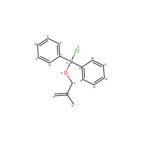 C=C(C)CO[Si](Cl)(c1ccccc1)c1ccccc1